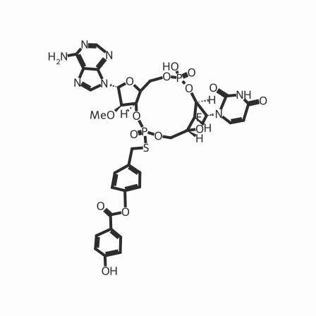 CO[C@@H]1[C@@H]2OP(=O)(SCc3ccc(OC(=O)c4ccc(O)cc4)cc3)OC[C@H]3O[C@@H](n4ccc(=O)[nH]c4=O)[C@H](OP(=O)(O)OCC2O[C@H]1n1cnc2c(N)ncnc21)[C@@H]3F